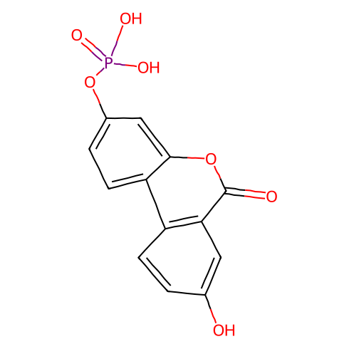 O=c1oc2cc(OP(=O)(O)O)ccc2c2ccc(O)cc12